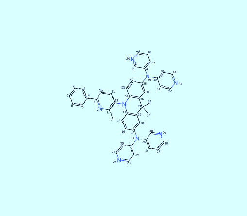 Cc1nc(-c2ccccc2)ccc1N1c2ccc(N(c3ccncc3)c3cccnc3)cc2C(C)(C)c2cc(N(c3ccncc3)c3cccnc3)ccc21